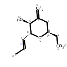 C=C1C[C@@H](CC(=O)O)O[C@H](/C=C/I)[C@H]1O